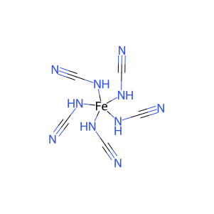 N#C[NH][Fe]([NH]C#N)([NH]C#N)([NH]C#N)[NH]C#N